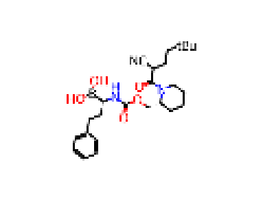 CC(C)(C)CCC(C#N)C(=O)N1CCCC[C@@H]1COC(=O)N[C@@H](CCc1ccccc1)B(O)O